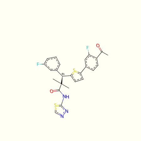 CC(=O)c1ccc(-c2ccc([C@H](c3cccc(F)c3)C(C)(C)C(=O)Nc3nncs3)s2)cc1F